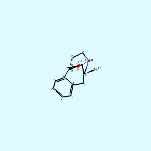 c1ccc2c(c1)C[C@H]1NCC[C@@]23CCCO[C@@H]13